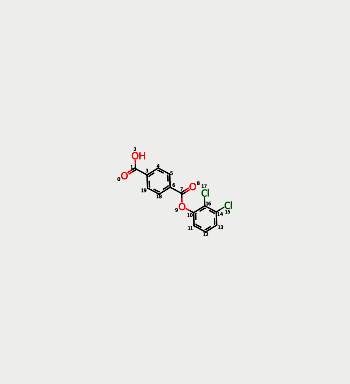 O=C(O)c1ccc(C(=O)Oc2cccc(Cl)c2Cl)cc1